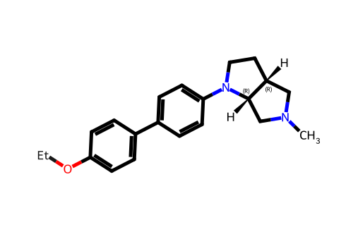 CCOc1ccc(-c2ccc(N3CC[C@@H]4CN(C)C[C@@H]43)cc2)cc1